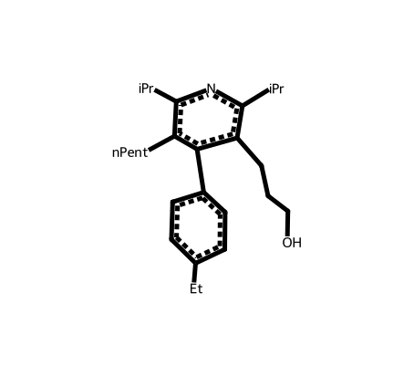 CCCCCc1c(C(C)C)nc(C(C)C)c(CCCO)c1-c1ccc(CC)cc1